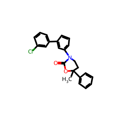 CC1(c2ccccc2)CCN(c2cccc(-c3cccc(Cl)c3)c2)C(=O)O1